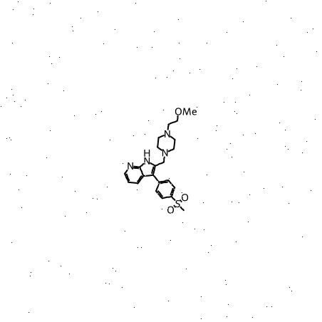 COCCN1CCN(Cc2[nH]c3ncccc3c2-c2ccc(S(C)(=O)=O)cc2)CC1